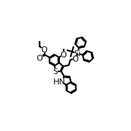 CCOC(=O)c1cc(OC)c2c(CCO[Si](c3ccccc3)(c3ccccc3)C(C)(C)C)c(-c3cc4ccccc4[nH]3)sc2c1